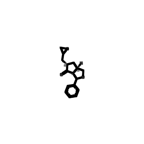 O=C1[C@H](CC2CO2)C[C@H]2COC(c3ccccc3)N12